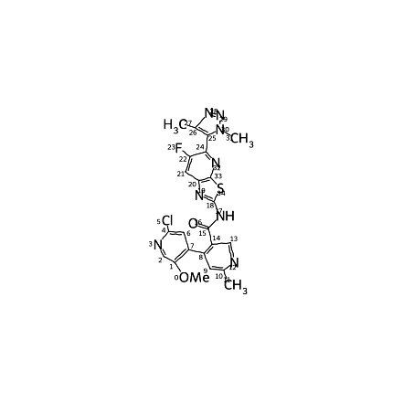 COc1cnc(Cl)cc1-c1cc(C)ncc1C(=O)Nc1nc2cc(F)c(-c3c(C)nnn3C)nc2s1